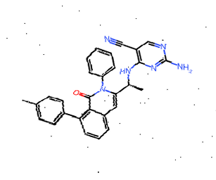 Cc1ccc(-c2cccc3cc([C@H](C)Nc4nc(N)ncc4C#N)n(-c4ccccc4)c(=O)c23)cc1